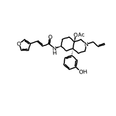 C=CCN1CC[C@@]2(c3cccc(O)c3)C[C@@H](NC(=O)/C=C/c3ccoc3)CC[C@]2(OC(C)=O)C1